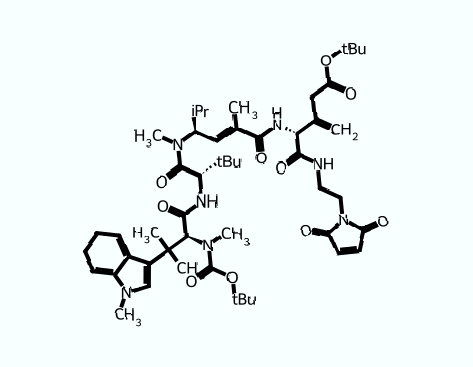 C=C(CC(=O)OC(C)(C)C)[C@@H](NC(=O)/C(C)=C/[C@H](C(C)C)N(C)C(=O)[C@@H](NC(=O)[C@@H](N(C)C(=O)OC(C)(C)C)C(C)(C)c1cn(C)c2c1=CCCC=2)C(C)(C)C)C(=O)NCCN1C(=O)C=CC1=O